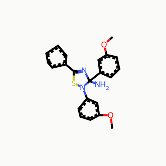 COc1cccc(N2SC(c3ccccc3)=NC2(N)c2cccc(OC)c2)c1